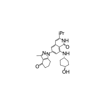 Cc1nn(-c2cc(N[C@H]3CC[C@H](O)CC3)c3c(=O)[nH]c(C(C)C)cc3c2)c2c1C(=O)CCC2